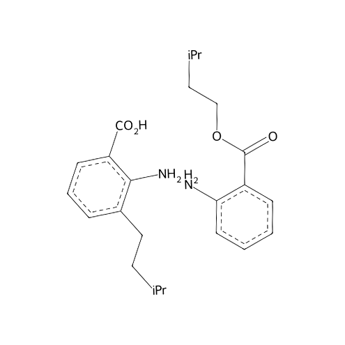 CC(C)CCOC(=O)c1ccccc1N.CC(C)CCc1cccc(C(=O)O)c1N